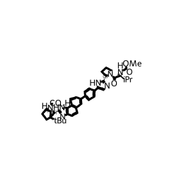 COC(=O)N[C@H](C(=O)N1CCC[C@H]1c1ncc(-c2ccc(-c3ccc4c(ccc5nc([C@H]6N(C(=O)O)[C@@H]7CCC6(C(C)(C)C)C7)[nH]c54)c3)cc2)[nH]1)C(C)C